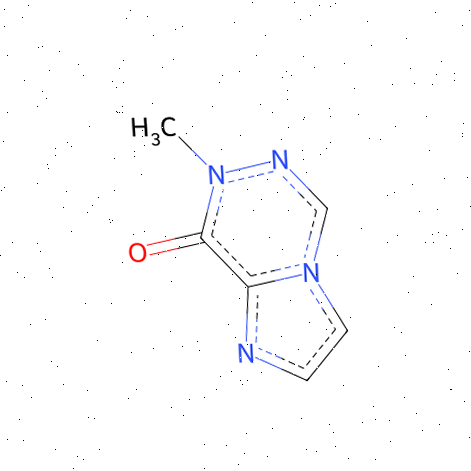 Cn1ncn2ccnc2c1=O